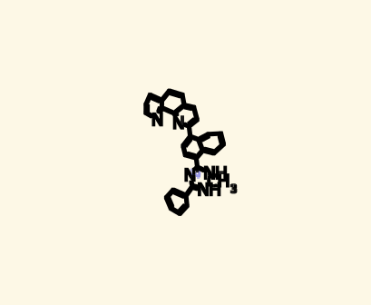 CN/C(=N\C(=N)c1ccccc1)c1ccc(-c2ccc3ccc4cccnc4c3n2)c2ccccc12